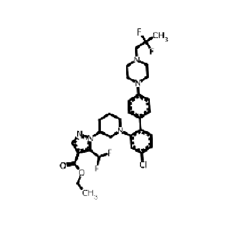 CCOC(=O)c1cnn(C2CCCN(c3cc(Cl)ccc3-c3ccc(N4CCN(CC(C)(F)F)CC4)cc3)C2)c1C(F)F